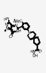 CCCc1nn(C)c2c(=O)[nH]c(-c3cc(N4CCC5(CCC(C(=O)NO)C5)CC4)ccc3OC)nc12